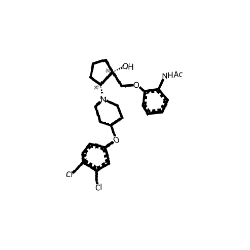 CC(=O)Nc1ccccc1OC[C@]1(O)CCC[C@H]1N1CCC(Oc2ccc(Cl)c(Cl)c2)CC1